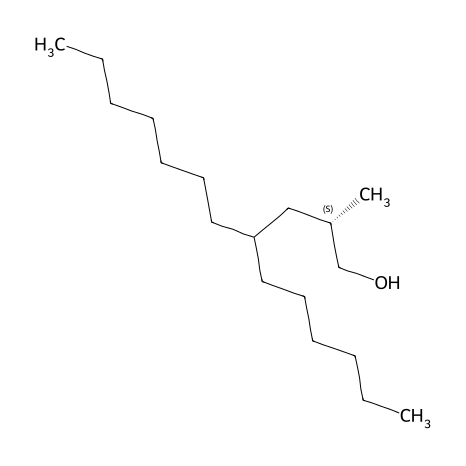 CCCCCCCC(CCCCCC)C[C@H](C)CO